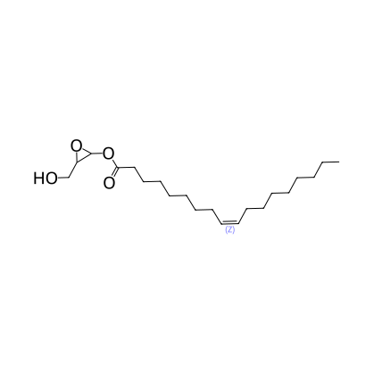 CCCCCCCC/C=C\CCCCCCCC(=O)OC1OC1CO